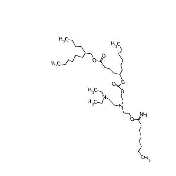 CCCCCCCC(=N)OCCN(CCOC(=O)OC(CCCCCC)CCCC(=O)OCC(CCCC)CCCCCC)CCN(CC)CC